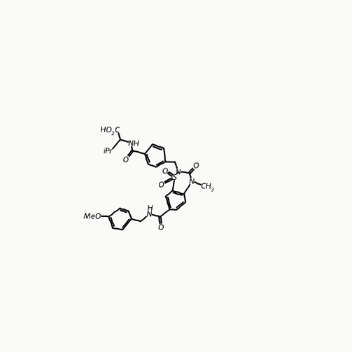 COc1ccc(CNC(=O)c2ccc3c(c2)S(=O)(=O)N(Cc2ccc(C(=O)NC(C(=O)O)C(C)C)cc2)C(=O)N3C)cc1